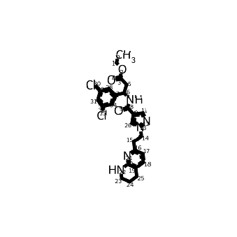 CCOC(=O)CC(NC(=O)c1cnn(CCc2ccc3c(n2)NCCC3)c1)c1cc(Cl)cc(Cl)c1